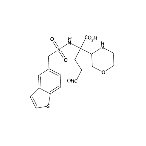 O=CCCC(NS(=O)(=O)Cc1ccc2sccc2c1)(C(=O)O)C1COCCN1